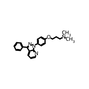 CN(C)CCCOc1ccc(-n2nc(-c3ccccc3)c3cccnc32)cc1